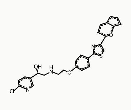 O[C@@H](CNCCOc1ccc(-c2nc(-c3ccc4cccc-4o3)cs2)cc1)c1ccc(Cl)nc1